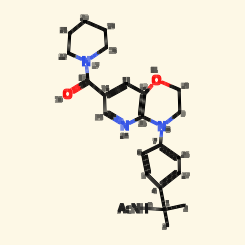 CC(=O)NC(C)(C)c1ccc(N2CCOc3cc(C(=O)N4CCCCC4)cnc32)cc1